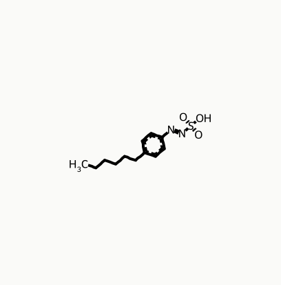 CCCCCCc1ccc(/N=N/S(=O)(=O)O)cc1